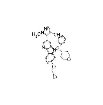 Cc1nnn(C)c1-c1cnc2c3cnc(OCC4CC4)cc3n([C@H](c3ccccc3)C3CCOCC3)c2c1